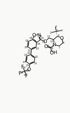 CC(C)(C)[C@@H]1OCCN(C(=O)O)C1COc1noc2ccc(-c3ccc(OC(F)(F)F)cc3)cc12